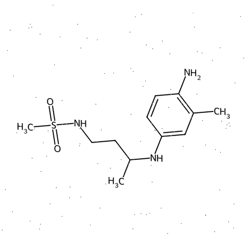 Cc1cc(NC(C)CCNS(C)(=O)=O)ccc1N